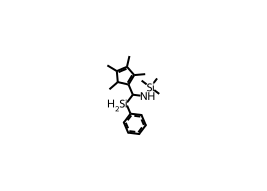 CC1=C(C)C(C)C(C(N[Si](C)(C)C)[SiH2]c2ccccc2)=C1C